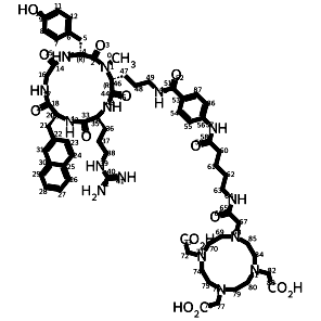 CN1C(=O)[C@@H](Cc2ccc(O)cc2)NC(=O)CNC(=O)[C@H](Cc2ccc3ccccc3c2)NC(=O)[C@H](CCCNC(=N)N)NC(=O)[C@H]1CCCNC(=O)c1ccc(NC(=O)CCCCNC(=O)CN2CCN(CC(=O)O)CCN(CC(=O)O)CCN(CC(=O)O)CC2)cc1